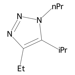 CCCn1nnc(CC)c1C(C)C